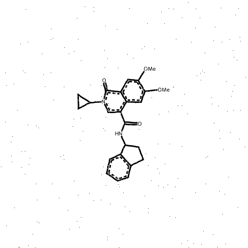 COc1cc2c(C(=O)NC3CCc4ccccc43)cn(C3CC3)c(=O)c2cc1OC